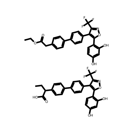 CCC(C(=O)O)c1ccc(-c2ccc(-c3c(C(F)(F)F)noc3-c3ccc(O)cc3O)cc2)cc1.CCOC(=O)Cc1ccc(-c2ccc(-c3c(C(F)(F)F)noc3-c3ccc(O)cc3O)cc2)cc1